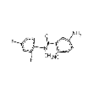 CN(C(=O)c1cc(N)ccc1C#N)c1ccc(F)cc1F